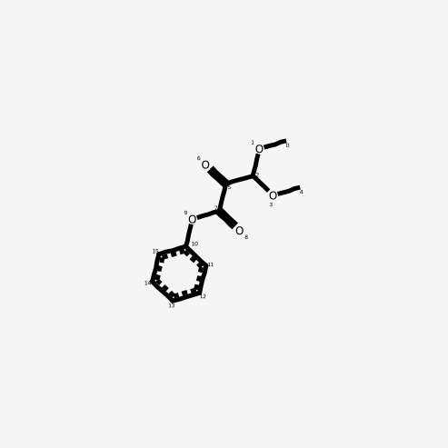 COC(OC)C(=O)C(=O)Oc1ccccc1